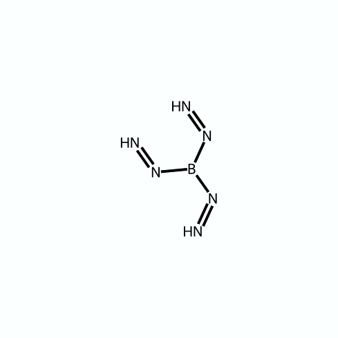 N=NB(N=N)N=N